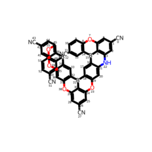 N#Cc1cc2c3c(c1)Oc1ccc(C#N)cc1B3c1cc3c(cc1N2)Oc1cc(C#N)cc2c1B3c1cc3c(cc1O2)Oc1cc(C#N)cc2c1B3c1cc(C#N)ccc1O2